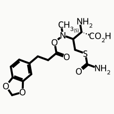 CN(OC(=O)CCc1ccc2c(c1)OCO2)C(CSC(N)=O)[C@H](N)C(=O)O